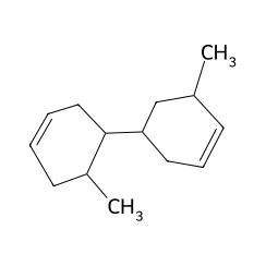 CC1C=CCC(C2CC=CCC2C)C1